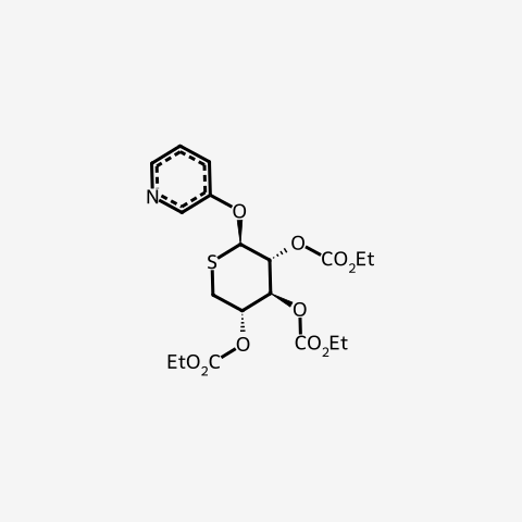 CCOC(=O)O[C@@H]1[C@@H](OC(=O)OCC)[C@H](OC(=O)OCC)CS[C@H]1Oc1cccnc1